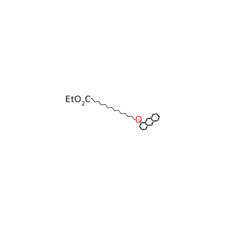 CCOC(=O)CCCCCCCCCCCCCCOc1cccc2cc3ccccc3cc12